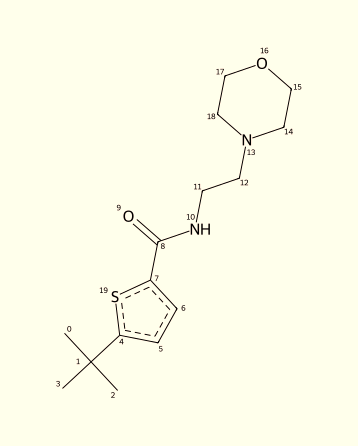 CC(C)(C)c1ccc(C(=O)NCCN2CCOCC2)s1